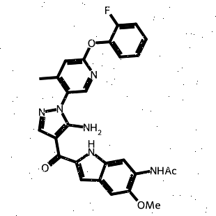 COc1cc2cc(C(=O)c3cnn(-c4cnc(Oc5ccccc5F)cc4C)c3N)[nH]c2cc1NC(C)=O